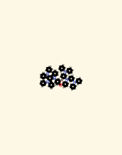 c1ccc(N(c2ccccc2)c2cccc(N3c4cc(N(c5ccccc5)c5ccccc5)ccc4B4c5cc(-n6c7ccccc7c7c8c(c9ccccc9n8-c8ccccc8)c8c(c9ccccc9n8-c8ccccc8)c76)ccc5Oc5cccc3c54)c2)cc1